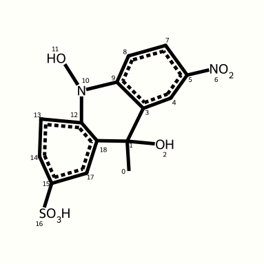 CC1(O)c2cc([N+](=O)[O-])ccc2N(O)c2ccc(S(=O)(=O)O)cc21